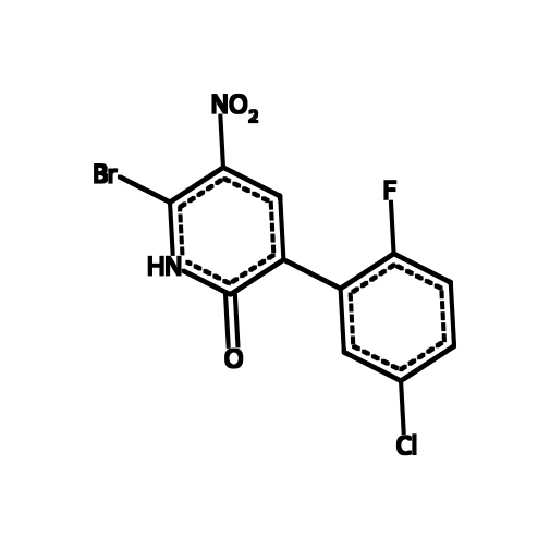 O=c1[nH]c(Br)c([N+](=O)[O-])cc1-c1cc(Cl)ccc1F